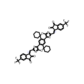 O=C1C(=O)c2cc(C(F)(F)F)ccc2/C1=C/c1nc2c(s1)-c1cc3c(cc1C1(CCCCC1)O2)-c1sc(/C=C2\C(=O)C(=O)c4cc(C(F)(F)F)ccc42)nc1OC31CCCCC1